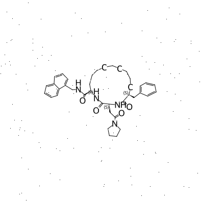 O=C1N[C@@H](CC(=O)N2CCCC2)C(=O)N[C@@H](C(=O)NCc2cccc3ccccc23)CCCCCCCCC[C@H]1Cc1ccccc1